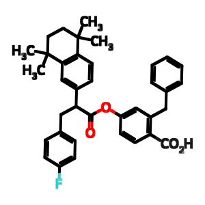 CC1(C)CCC(C)(C)c2cc(C(Cc3ccc(F)cc3)C(=O)Oc3ccc(C(=O)O)c(Cc4ccccc4)c3)ccc21